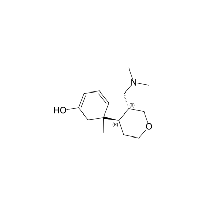 CN(C)C[C@@H]1COCC[C@H]1C1(C)C=CC=C(O)C1